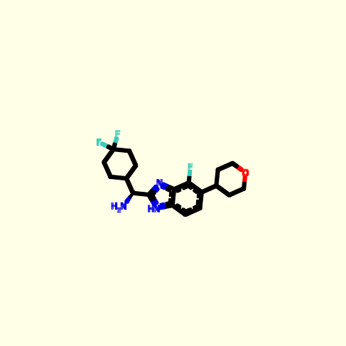 N[C@H](c1nc2c(F)c([C]3CCOCC3)ccc2[nH]1)C1CCC(F)(F)CC1